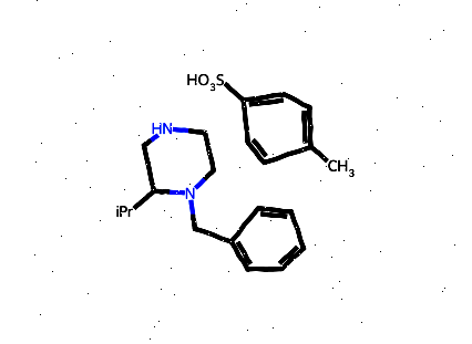 CC(C)C1CNCCN1Cc1ccccc1.Cc1ccc(S(=O)(=O)O)cc1